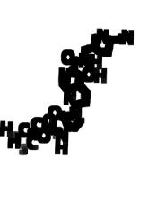 CC(C)(C)OC(=O)NC1CCN(c2ccc3c(O)c(C(=O)NCc4ccc(C#N)nc4)ncc3n2)C1=O